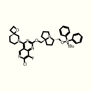 CC(C)(C)[Si](OC[C@@H]1CC[C@]2(COc3nc(N4CCC[C@]5(CCO5)C4)c4cnc(Cl)c(F)c4n3)CCCN12)(c1ccccc1)c1ccccc1